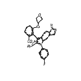 CC(C)c1c(-c2c(OC3COC3)cccc2C(=O)O)c2cc3[nH]ncc3cc2n1-c1ccc(F)cc1